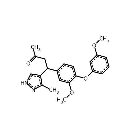 COc1cccc(Oc2ccc(C(CC(C)=O)c3c[nH]nc3C)cc2OC)c1